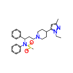 CCn1nc(C)cc1C1CCN(CCC(c2ccccc2)N(c2ccccc2)S(C)(=O)=O)CC1